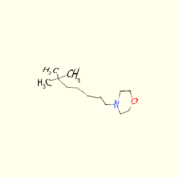 CC(C)(C)CCCCCN1CCOCC1